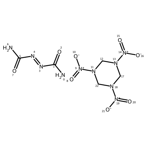 NC(=O)/N=N/C(N)=O.O=[N+]([O-])N1CN([N+](=O)[O-])CN([N+](=O)[O-])C1